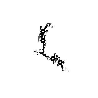 C=CC(CCCCOc1cc(F)c(C(F)(F)Oc2cc(F)c(C#CC)c(F)c2)c(F)c1)CCCCOc1cc(F)c(C(F)(F)Oc2cc(F)c(C#CC(F)(F)F)c(F)c2)c(F)c1